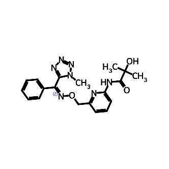 Cn1nnnc1/C(=N\OCc1cccc(NC(=O)C(C)(C)O)n1)c1ccccc1